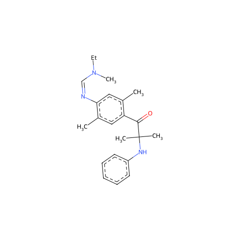 CCN(C)/C=N\c1cc(C)c(C(=O)C(C)(C)Nc2ccccc2)cc1C